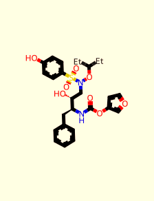 CCC(CC)ON(C[C@@H](O)[C@H](Cc1ccccc1)NC(=O)Oc1ccoc1)S(=O)(=O)c1ccc(O)cc1